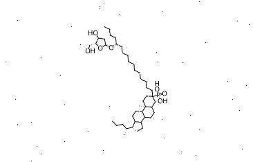 CCCCC(CCCCCCCCCCCC1(P(=O)(O)O)CC[C@@]2(C)C(CCC3C2CC[C@@]2(C)C3CC[C@@H]2[C@H](C)CCC)C1)OC1C[C@H](O)[C@@H](CO)O1